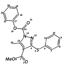 COC(=O)c1c(Sc2ccccc2)nn(C(=O)Oc2ccccc2)c1C